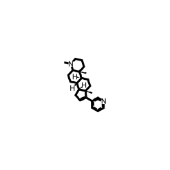 CN1CCC[C@@]2(C)C1CC[C@@H]1[C@@H]2CC[C@]2(C)C(c3cccnc3)=CC[C@@H]12